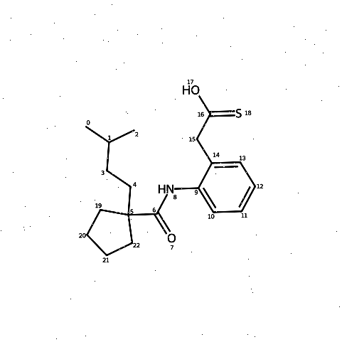 CC(C)CCC1(C(=O)Nc2ccccc2CC(O)=S)CCCC1